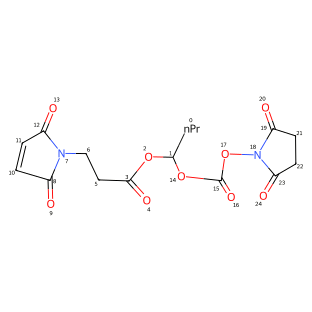 CCCC(OC(=O)CCN1C(=O)C=CC1=O)OC(=O)ON1C(=O)CCC1=O